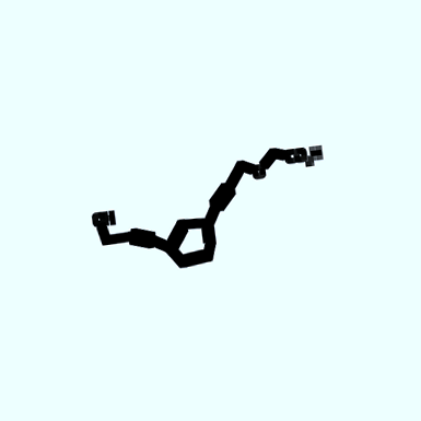 O=C(O)COCC#Cc1cccc(C#CCO)c1